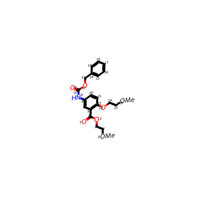 COCCOC(=O)c1cc(NC(=O)OCc2ccccc2)ccc1OCCOC